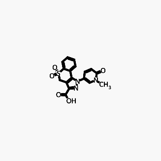 Cn1cc(-n2nc(C(=O)O)c3c2-c2ccccc2S(=O)(=O)C3)ccc1=O